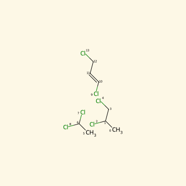 CC(Cl)CCl.CC(Cl)Cl.ClC=CCCl